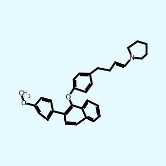 COc1ccc(-c2ccc3ccccc3c2Oc2ccc(CCC=CN3CCCCC3)cc2)cc1